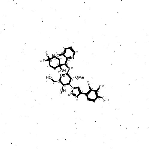 CO[C@@H]1[C@@H](n2cc(-c3ccc(C)c(F)c3F)nn2)[C@@H](O)[C@@H](CO)O[C@H]1SC(c1ncccc1C)C1(O)CCC(F)(F)CC1